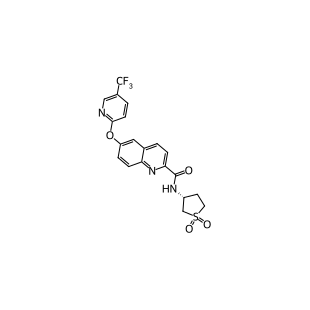 O=C(N[C@@H]1CCS(=O)(=O)C1)c1ccc2cc(Oc3ccc(C(F)(F)F)cn3)ccc2n1